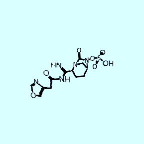 N=C(NC(=O)Cc1cocn1)C1CCC2CN1C(=O)N2OS(=O)(=O)O